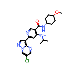 CO[C@H]1CC[C@H](NC(=O)c2cnc(-c3cnn4cc(Cl)cnc34)cc2NC(C)C)CC1